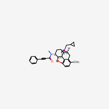 CC(=O)Oc1ccc2c3c1C[C@@H]1[C@@H]4CC[C@@H](N(C)C(=O)C#Cc5ccccc5)[C@H](O2)[C@]34CCN1CC1CC1